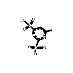 CCS(=O)(=O)c1cc(C)nc(S(=O)(=O)CC)n1